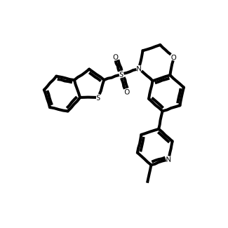 Cc1ccc(-c2ccc3c(c2)N(S(=O)(=O)c2cc4ccccc4s2)CCO3)cn1